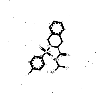 CCCCC(NC(=O)[C@@H]1Cc2ccccc2CN1S(=O)(=O)c1ccc(F)cc1)C(=O)O